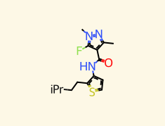 Cc1nn(C)c(F)c1C(=O)Nc1ccsc1CCC(C)C